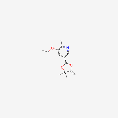 C=C1OB(c2cnc(C)c(OCC)c2)OC1(C)C